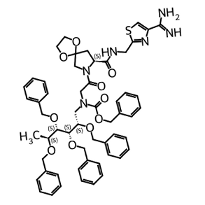 C[C@H](OCc1ccccc1)[C@H](OCc1ccccc1)[C@@H](OCc1ccccc1)[C@H](CN(CC(=O)N1CC2(C[C@H]1C(=O)NCc1nc(C(=N)N)cs1)OCCO2)C(=O)OCc1ccccc1)OCc1ccccc1